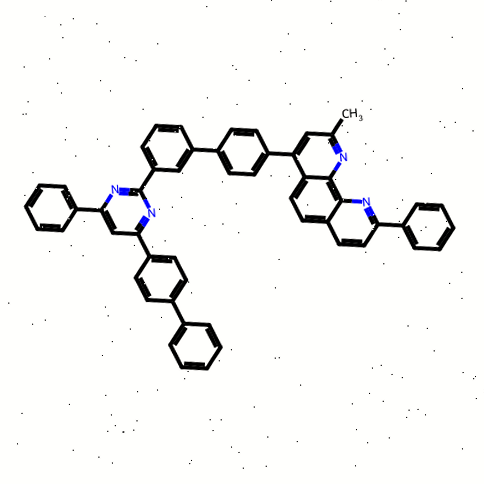 Cc1cc(-c2ccc(-c3cccc(-c4nc(-c5ccccc5)cc(-c5ccc(-c6ccccc6)cc5)n4)c3)cc2)c2ccc3ccc(-c4ccccc4)nc3c2n1